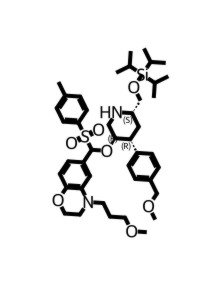 COCCCN1CCOc2ccc(C(O[C@H]3CN[C@H](CO[Si](C(C)C)(C(C)C)C(C)C)C[C@@H]3c3ccc(COC)cc3)S(=O)(=O)c3ccc(C)cc3)cc21